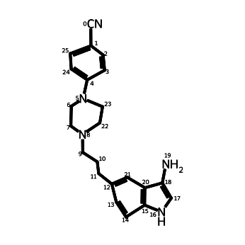 N#Cc1ccc(N2CCN(CCCc3ccc4[nH]cc(N)c4c3)CC2)cc1